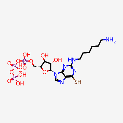 NCCCCCCNc1nc(S)c2ncn([C@@H]3O[C@H](COP(=O)(O)OP(=O)(O)OP(=O)(O)O)C(O)[C@@H]3O)c2n1